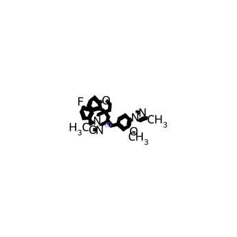 COc1cc(/C=C2\CC3(CCOc4ccccc43)CN3C2=NOC3(C)c2ccc(F)cc2)ccc1-n1cnc(C)c1